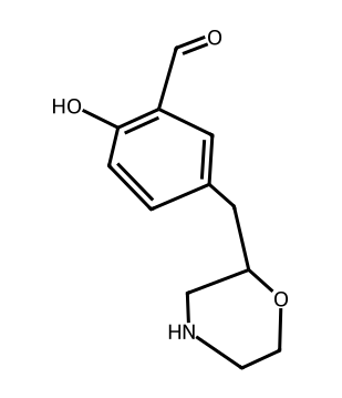 O=Cc1cc(CC2CNCCO2)ccc1O